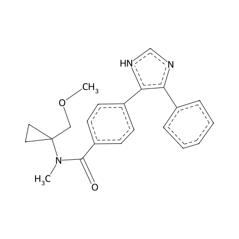 COCC1(N(C)C(=O)c2ccc(-c3[nH]cnc3-c3ccccc3)cc2)CC1